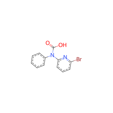 O=C(O)N(c1ccccc1)c1cccc(Br)n1